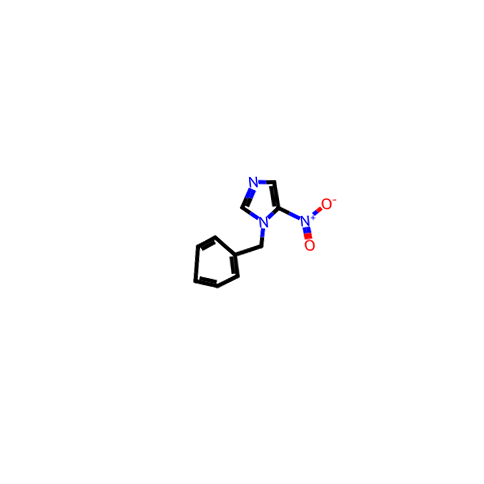 O=[N+]([O-])c1cncn1Cc1ccccc1